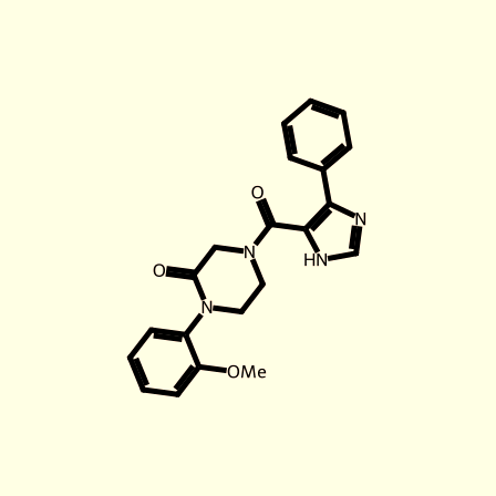 COc1ccccc1N1CCN(C(=O)c2[nH]cnc2-c2ccccc2)CC1=O